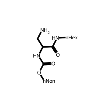 CCCCCCCCCOC(=O)NC(CN)C(=O)NCCCCCC